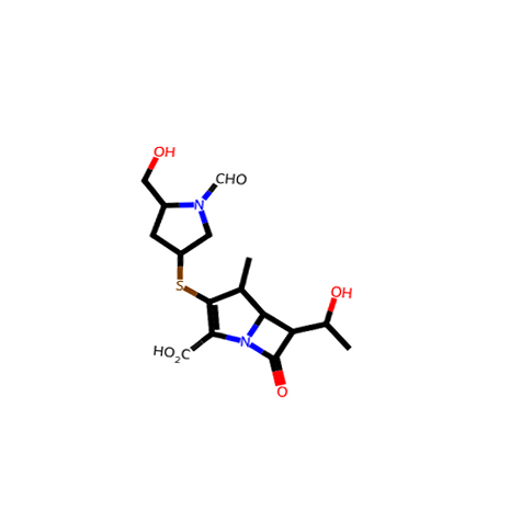 CC(O)C1C(=O)N2C(C(=O)O)=C(SC3CC(CO)N(C=O)C3)C(C)C12